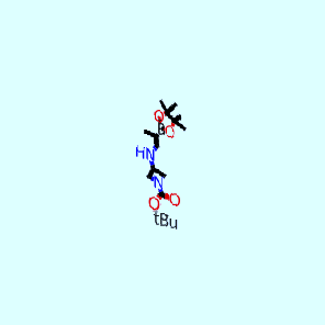 C/C(=C\NC1CN(C(=O)OC(C)(C)C)C1)B1OC(C)(C)C(C)(C)O1